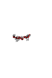 COC(=O)[C@H](C)NC(=O)N(C)C1CCN(C[C@@H]2CCCN2C(=O)CN2CCC[C@H](NS(=O)(=O)/C=C/c3ccc(Cl)s3)C2=O)C1